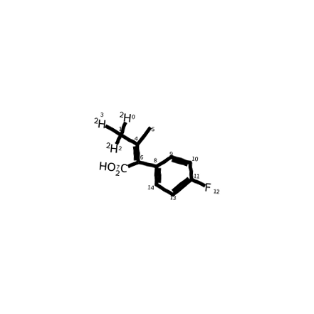 [2H]C([2H])([2H])/C(C)=C(\C(=O)O)c1ccc(F)cc1